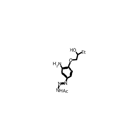 CCC(O)COc1ccc(N=NNC(C)=O)cc1N